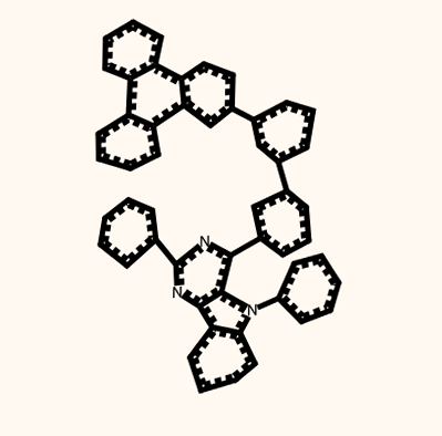 c1ccc(-c2nc(-c3cccc(-c4cccc(-c5ccc6c7ccccc7c7ccccc7c6c5)c4)c3)c3c(n2)c2ccccc2n3-c2ccccc2)cc1